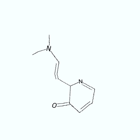 CN(C)C=CC1N=CC=CC1=O